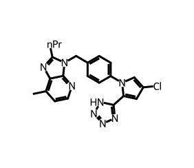 CCCc1nc2c(C)ccnc2n1Cc1ccc(-n2cc(Cl)cc2-c2nnn[nH]2)cc1